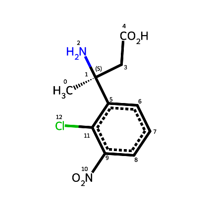 C[C@](N)(CC(=O)O)c1cccc([N+](=O)[O-])c1Cl